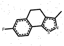 Cc1nsc2c1CCc1cc(F)ccc1-2